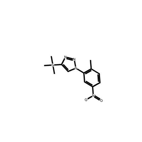 Cc1ccc([N+](=O)[O-])cc1-n1cc([Si](C)(C)C)nn1